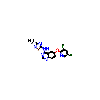 Cc1nsc(Nc2ncnc3ccc(Oc4ncc(F)cc4F)cc23)n1